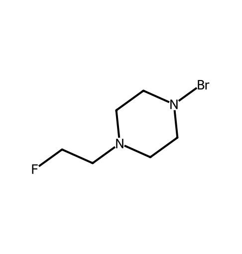 FCCN1CCN(Br)CC1